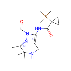 C/C1=N\N(C=O)/C(NC(=O)C2(S(C)(C)C)CC2)=C/CNC1(C)C